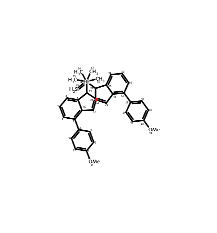 COc1ccc(-c2cccc3c2C=C[CH]3[Hf]([CH3])([CH3])([CH3])([CH3])(=[SiH2])[CH]2C=Cc3c(-c4ccc(OC)cc4)cccc32)cc1